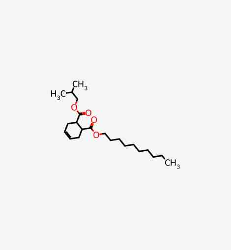 CCCCCCCCCCOC(=O)C1CC=CCC1C(=O)OCC(C)C